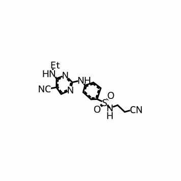 CCNc1nc(Nc2ccc(S(=O)(=O)NCCC#N)cc2)ncc1C#N